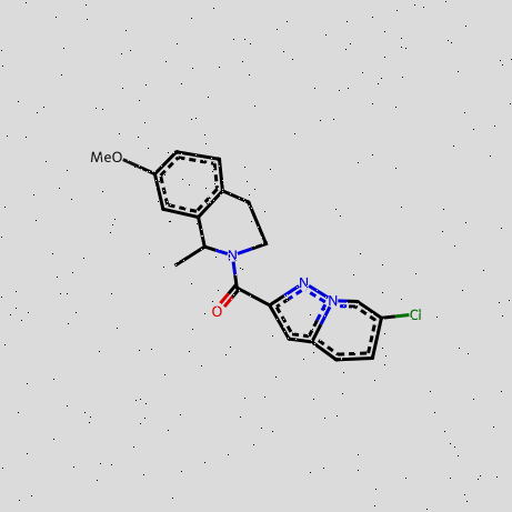 COc1ccc2c(c1)C(C)N(C(=O)c1cc3ccc(Cl)cn3n1)CC2